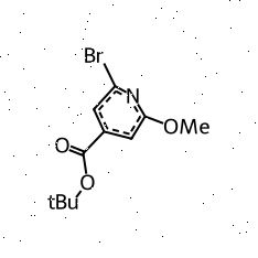 COc1cc(C(=O)OC(C)(C)C)cc(Br)n1